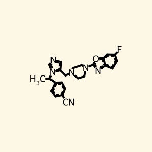 CC(c1ccc(C#N)cc1)n1cncc1CN1CCN(c2nc3ccc(F)cc3o2)CC1